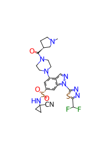 CN1CC[C@H](C(=O)N2CCN(c3cc(S(=O)(=O)NC4(C#N)CC4)cc4c3cnn4-c3nnc(C(F)F)s3)CC2)C1